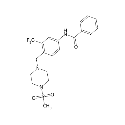 CS(=O)(=O)N1CCN(Cc2ccc(NC(=O)c3ccccc3)cc2C(F)(F)F)CC1